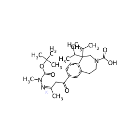 C/C(CC(=O)c1ccc2c(c1)CCN(C(=O)O)CC2(C(C)C)C(C)C)=N/N(C)C(=O)OC(C)(C)C